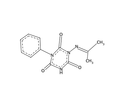 CC(C)=Nn1c(=O)[nH]c(=O)n(-c2ccccc2)c1=O